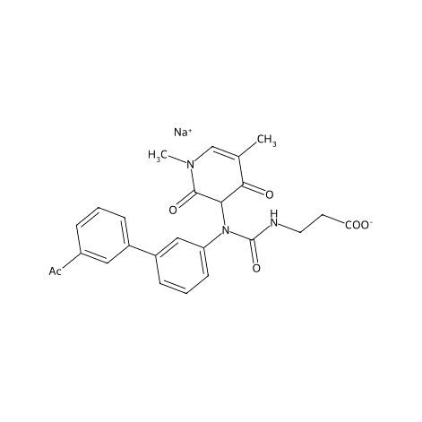 CC(=O)c1cccc(-c2cccc(N(C(=O)NCCC(=O)[O-])C3C(=O)C(C)=CN(C)C3=O)c2)c1.[Na+]